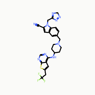 N#Cc1cc2cc(CN3CCC(Nc4ncnc5sc(CC(F)(F)F)cc45)CC3)ccc2n1CC1=NCN=N1